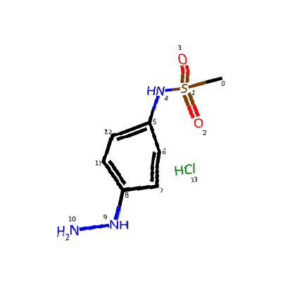 CS(=O)(=O)Nc1ccc(NN)cc1.Cl